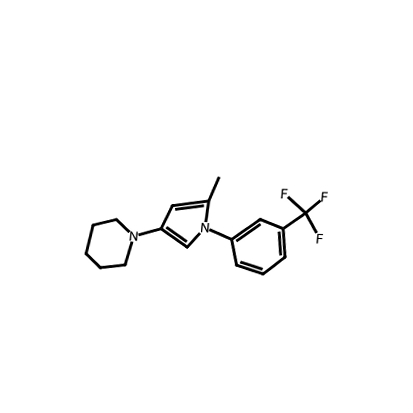 Cc1cc(N2CCCCC2)cn1-c1cccc(C(F)(F)F)c1